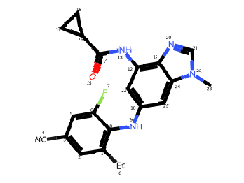 CCc1cc(C#N)cc(F)c1Nc1cc(NC(=O)C2CC2)c2ncn(C)c2c1